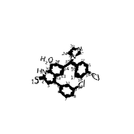 O.S=c1cc(-c2cccc(Cl)c2)c2cc(C(c3ccc(Cl)cc3)n3ccnc3)ccc2[nH]1